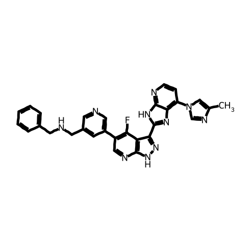 Cc1cn(-c2ccnc3[nH]c(-c4n[nH]c5ncc(-c6cncc(CNCc7ccccc7)c6)c(F)c45)nc23)cn1